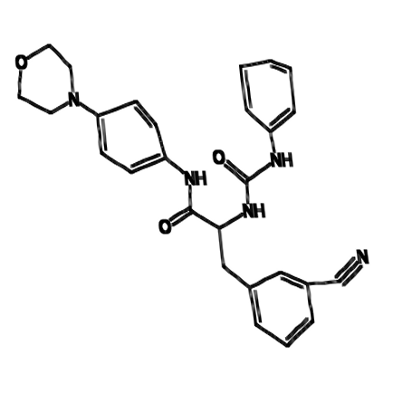 N#Cc1cccc(CC(NC(=O)Nc2ccccc2)C(=O)Nc2ccc(N3CCOCC3)cc2)c1